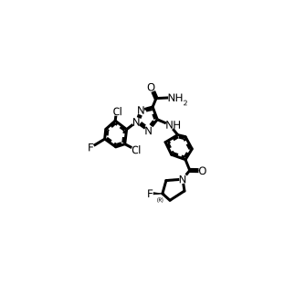 NC(=O)c1nn(-c2c(Cl)cc(F)cc2Cl)nc1Nc1ccc(C(=O)N2CC[C@@H](F)C2)cc1